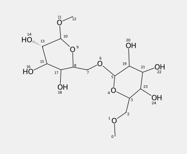 COCC1OC(OCC2OC(OC)[C@@H](O)C(O)C2O)C(O)C(O)C1O